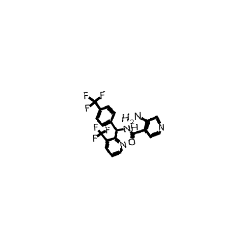 Nc1cnccc1C(=O)NC(c1ccc(C(F)(F)F)cc1)c1ncccc1C(F)(F)F